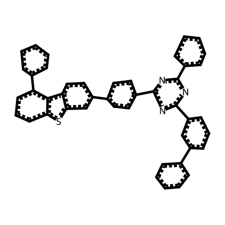 c1ccc(-c2cccc(-c3nc(-c4ccccc4)nc(-c4ccc(-c5ccc6c(c5)sc5cccc(-c7ccccc7)c56)cc4)n3)c2)cc1